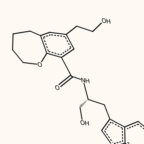 O=C(N[C@@H](CO)Cc1c[nH]c2ccccc12)c1cc(CCO)cc2c1OCCCC2